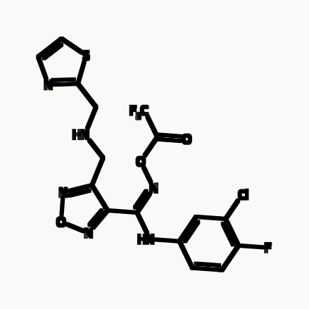 O=C(ON=C(Nc1ccc(F)c(Cl)c1)c1nonc1CNCc1nccs1)C(F)(F)F